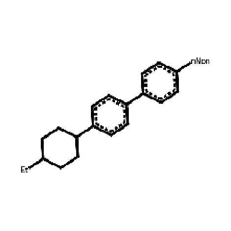 CCCCCCCCCc1ccc(-c2ccc(C3CCC(CC)CC3)cc2)cc1